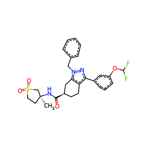 C[C@]1(NC(=O)[C@@H]2CCc3c(-c4cccc(OC(F)F)c4)nn(Cc4ccccc4)c3C2)CCS(=O)(=O)C1